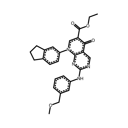 CCOC(=O)c1cn(-c2ccc3c(c2)CCC3)c2nc(Nc3cccc(COC)c3)ncc2c1=O